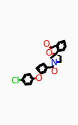 O=C1O[C@]2(CCN(C(=O)c3cccc(Oc4ccc(Cl)cc4)c3)C2)c2ccccc21